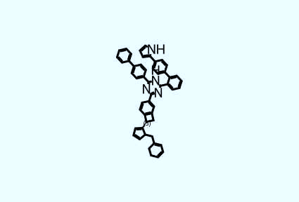 C1=CCCC(CC2C=CC=C2[C@@H]2Cc3cc(C4=NC(c5ccccc5-c5ccc(-c6ccc[nH]6)cc5)NC(c5ccc(-c6ccccc6)cc5)=N4)ccc32)=C1